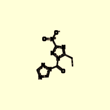 CCc1nc([N+](=O)[O-])nn1C(=O)n1cncn1